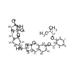 CC(C)COc1ccccc1COc1ccc(C=C2SC(Nc3ccc(CN4CC(=O)NS4(=O)=O)cc3)=NC2=O)cc1